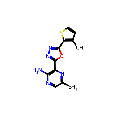 Bc1cnc(N)c(-c2nnc(-c3sccc3C)o2)n1